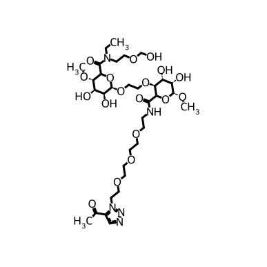 CCN(CCOCO)C(=O)C1O[C@@H](OCCO[C@@H]2C(C(=O)NCCOCCOCCOCCn3nncc3C(C)=O)O[C@@H](OC)[C@@H](O)[C@H]2O)[C@@H](O)[C@@H](O)[C@@H]1OC